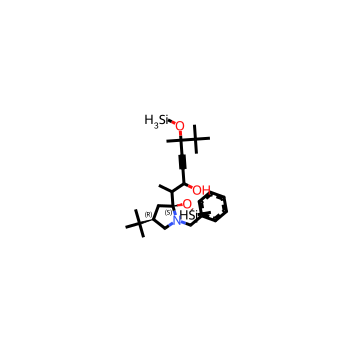 CC(C(O)C#CC(C)(O[SiH3])C(C)(C)C)[C@@]1(O[SiH](C)C)C[C@H](C(C)(C)C)CN1Cc1ccccc1